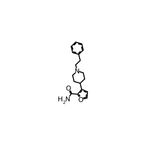 NC(=O)c1occc1C1CCN(CCc2ccccc2)CC1